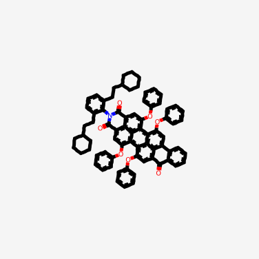 O=C1c2ccccc2-c2cc(Oc3ccccc3)c3c4c(Oc5ccccc5)cc5c6c(cc(Oc7ccccc7)c(c7c(Oc8ccccc8)cc1c2c73)c64)C(=O)N(c1c(CCC2CCCCC2)cccc1CCC1CCCCC1)C5=O